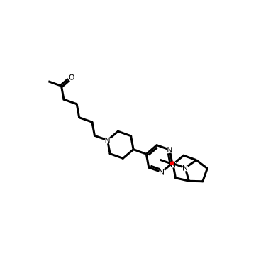 CC(=O)CCCCCN1CCC(c2cnc(N3C4CCC3CN(C)C4)nc2)CC1